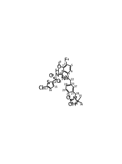 COc1c(F)ccc2c1c(NS(=O)(=O)c1ccc(Cl)s1)nn2Cc1cccc(CN(C(=O)O)C(C)(C)C)c1